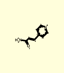 NC(=O)C=Cc1ccncc1